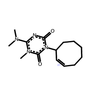 CN(C)c1nc(=O)n(C2/C=C\CCCCC2)c(=O)n1C